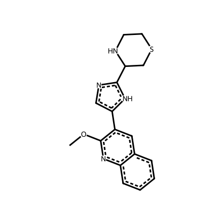 COc1nc2ccccc2cc1-c1cnc(C2CSCCN2)[nH]1